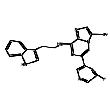 CC(C)c1cnc2c(NCCc3c[nH]c4ccccc34)nc(-c3cncc(F)c3)cn12